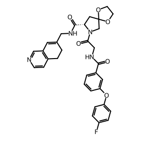 O=C(NCC(=O)N1CC2(C[C@H]1C(=O)NCC1=Cc3cnccc3CC1)OCCO2)c1cccc(Oc2ccc(F)cc2)c1